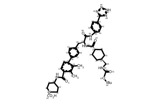 Cc1c(C(=O)NC2CCN(C(=O)O)CC2)ccc(-c2ccc(C[C@H](NC(=O)[C@H]3CC[C@H](CNC(=O)OC(C)(C)C)CC3)C(=O)Nc3ccc(-c4nn[nH]n4)cc3)cc2)c1C